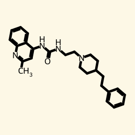 Cc1cc(NC(=O)NCCN2CCC(CCc3ccccc3)CC2)c2ccccc2n1